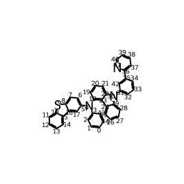 c1ccc(N(c2ccc3sc4ccccc4c3c2)c2cccc3c2c2ccccc2n3-c2cccc(-c3ccccn3)c2)cc1